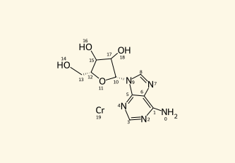 Nc1ncnc2c1ncn2[C@@H]1O[C@H](CO)C(O)C1O.[Cr]